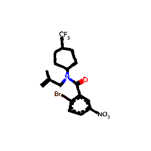 C=C(C)CN(C(=O)c1cc([N+](=O)[O-])ccc1Br)C1CCC(C(F)(F)F)CC1